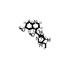 CC[C@H]1CN2CC[C@H]1C[C@H]2[C@H](OC)c1ccnc2ccc(OC)cc12